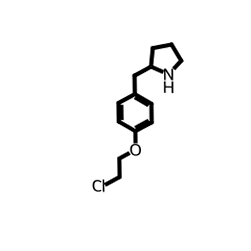 ClCCOc1ccc(CC2CCCN2)cc1